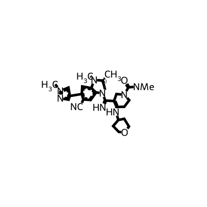 CNC(=O)N1CCC(NC2CCOCC2)=C(C(=N)N2C[C@H](C)N(C)c3cc(-c4cnn(C)c4)c(C#N)cc32)C1